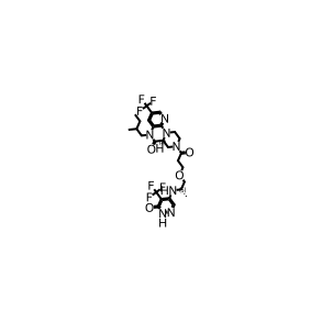 CCC(C)CN1C(=O)[C@@H]2CN(C(=O)CCOC[C@H](C)Nc3cn[nH]c(=O)c3C(F)(F)F)CCN2c2ncc(C(F)(F)F)cc21